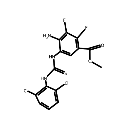 COC(=O)c1cc(NC(=S)Nc2c(Cl)cccc2Cl)c(N)c(F)c1F